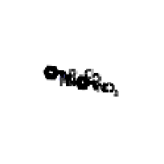 O=C(/C=C/c1ccccc1)Nc1ccc(C(=O)C[N+](=O)[O-])c(Cl)c1